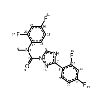 CN(C(=O)n1cnc(-c2ccc(F)cc2F)n1)c1ccc(F)cc1F